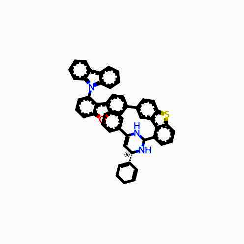 C1=CC([C@@H]2C=C(c3ccccc3)NC(c3cccc4sc5ccc(-c6ccc7c(c6)oc6cccc(-n8c9ccccc9c9ccccc98)c67)cc5c34)N2)=CCC1